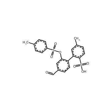 Cc1ccc(S(=O)(=O)Oc2cc(C=O)ccc2-c2cc(C)ccc2S(=O)(=O)O)cc1